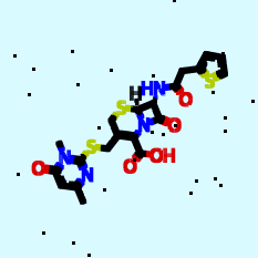 Cc1cc(=O)n(C)c(SCC2=C(C(=O)O)N3C(=O)[C@@H](NC(=O)Cc4cccs4)[C@@H]3SC2)n1